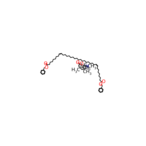 CN(C)CC(C)(C)CC(C)(C)CC(=O)OC(CCCCCCCC/C=C\CCCCCCCC(=O)OCc1ccccc1)CCCCCCCC/C=C\CCCCCCCC(=O)OCc1ccccc1